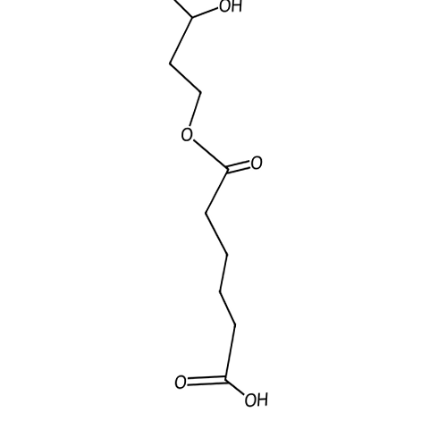 CC(O)CCOC(=O)CCCCC(=O)O